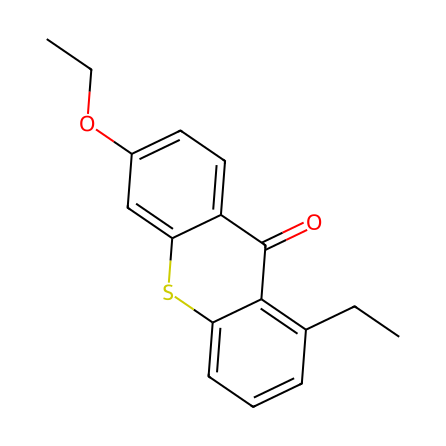 CCOc1ccc2c(=O)c3c(CC)cccc3sc2c1